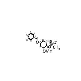 COC1CC(OCc2ccccc2)CCC1OS(C)(=O)=O